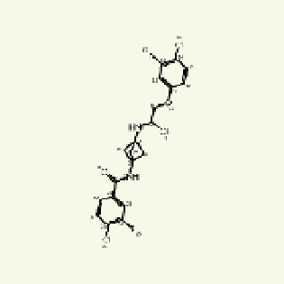 O=C(NC12CC(NC(O)COc3ccc(Cl)c(F)c3)(C1)C2)c1ccc(Cl)c(F)c1